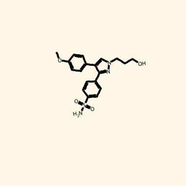 COc1ccc(-c2cn(CCCO)nc2-c2ccc(S(N)(=O)=O)cc2)cc1